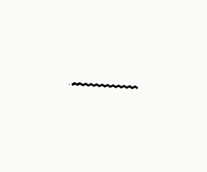 [CH]=CC=CCCCCCCCCCCCCCCCCCCCCC